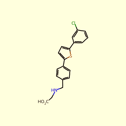 O=C(O)CNCc1ccc(-c2ccc(-c3cccc(Cl)c3)s2)cc1